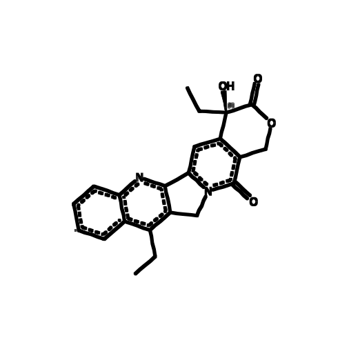 CCc1c2c(nc3cc[c]cc13)-c1cc3c(c(=O)n1C2)COC(=O)[C@@]3(O)CC